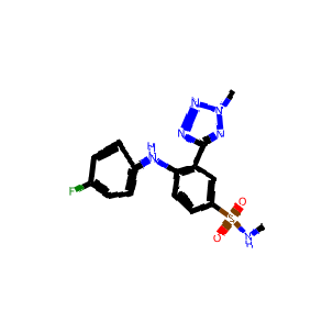 CNS(=O)(=O)c1ccc(Nc2ccc(F)cc2)c(-c2nnn(C)n2)c1